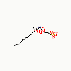 CCCCCCCCCCCCCOC(=O)/C=C\C(=O)OCCCS(=O)(=O)[O-].[Na+]